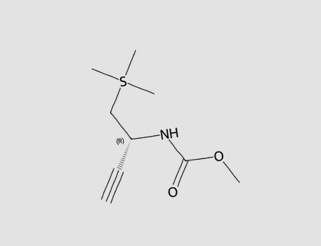 C#C[C@H](CS(C)(C)C)NC(=O)OC